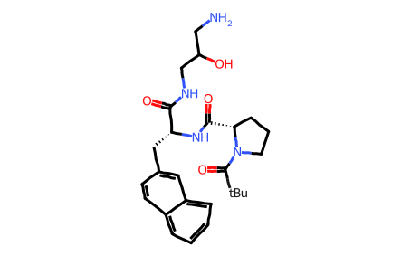 CC(C)(C)C(=O)N1CCC[C@H]1C(=O)N[C@H](Cc1ccc2ccccc2c1)C(=O)NCC(O)CN